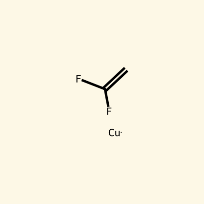 C=C(F)F.[Cu]